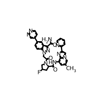 Cc1cc(NC(=O)C2CC(F)CN2C(=O)Cn2nc(C(N)=O)c3cc(-c4ccnnc4)ccc32)c2nc(-c3ccccn3)cn2c1